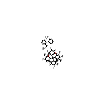 Cc1ccccc1-c1ccccc1[I+]C(C)C.Fc1c(F)c(F)c([B-](c2c(F)c(F)c(F)c(F)c2F)(c2c(F)c(F)c(F)c(F)c2F)c2c(F)c(F)c(F)c(F)c2F)c(F)c1F